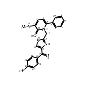 CNc1ccc(-c2ccccc2)n(Cc2nc(C(=O)c3ccc(F)cc3)cs2)c1=O